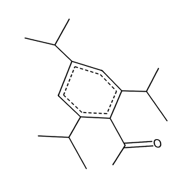 CC(=O)c1c(C(C)C)cc(C(C)C)cc1C(C)C